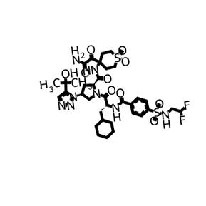 CC(C)(O)c1cnnn1[C@H]1C[C@@H](C(=O)NC2(C(=O)C(N)=O)CCS(=O)(=O)CC2)N(C(=O)[C@@H](CC2CCCCC2)NC(=O)c2ccc(S(=O)(=O)NCC(F)F)cc2)C1